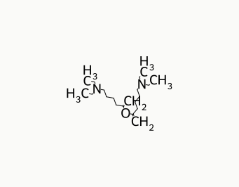 C=C(CCCCN(CC)CC)OC(=C)CCCCN(CC)CC